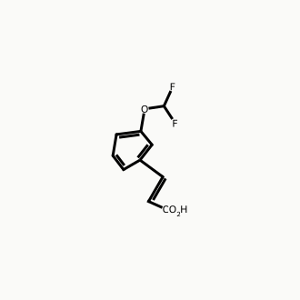 O=C(O)C=Cc1cccc(OC(F)F)c1